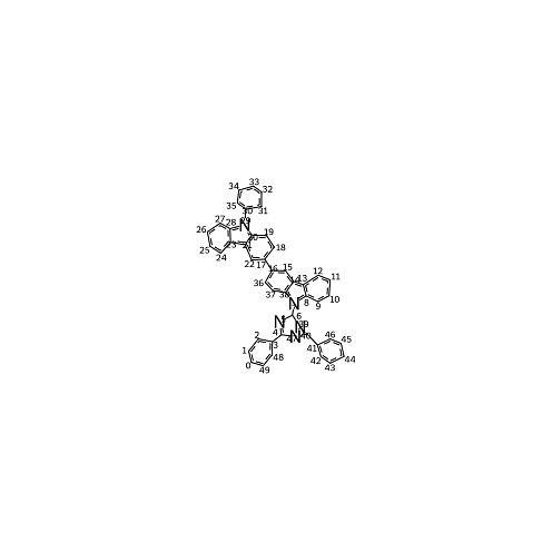 c1ccc(C2=NC(n3c4ccccc4c4cc(-c5ccc6c(c5)c5ccccc5n6-c5ccccc5)ccc43)N3C(c4ccccc4)N23)cc1